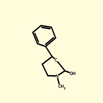 CN1CCC(c2ccccc2)CC1O